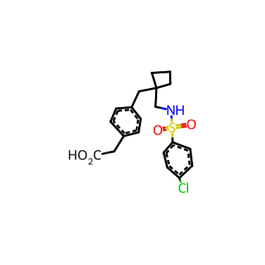 O=C(O)Cc1ccc(CC2(CNS(=O)(=O)c3ccc(Cl)cc3)CCC2)cc1